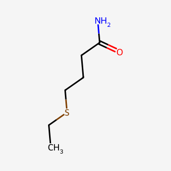 CCSCCCC(N)=O